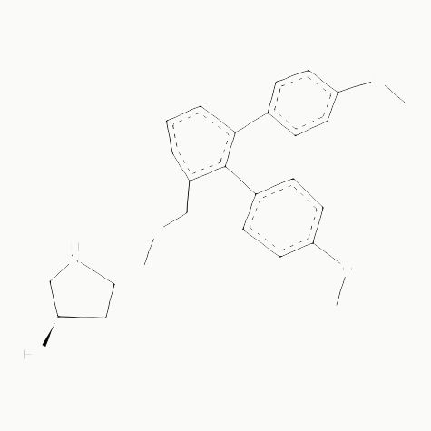 COc1ccc(-c2cccc(COC[C@@H]3C[C@@H](O)CN3)c2-c2ccc(OC)cc2)cc1